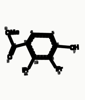 COC(=O)c1ccc(O)c(C(C)C)c1C(C)C